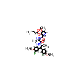 CCCC(=O)Oc1c(OC)ccnc1C(=O)N[C@@H](C)C(=O)NC(C)=C(c1ccc(OC)c(F)c1)c1ccc(OC)c(F)c1